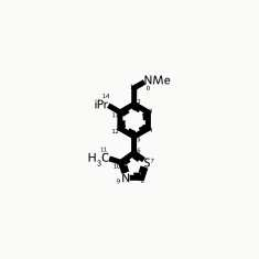 CNCc1ccc(-c2scnc2C)cc1C(C)C